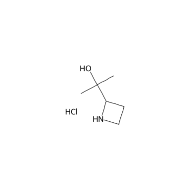 CC(C)(O)C1CCN1.Cl